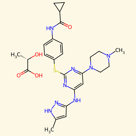 C[C@H](O)C(=O)O.Cc1cc(Nc2cc(N3CCN(C)CC3)nc(Sc3ccc(NC(=O)C4CC4)cc3)n2)n[nH]1